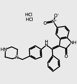 Cl.Cl.O=C1Nc2ccc([N+](=O)[O-])cc2C1=C(Nc1ccc(CN2CCNCC2)cc1)c1ccccc1